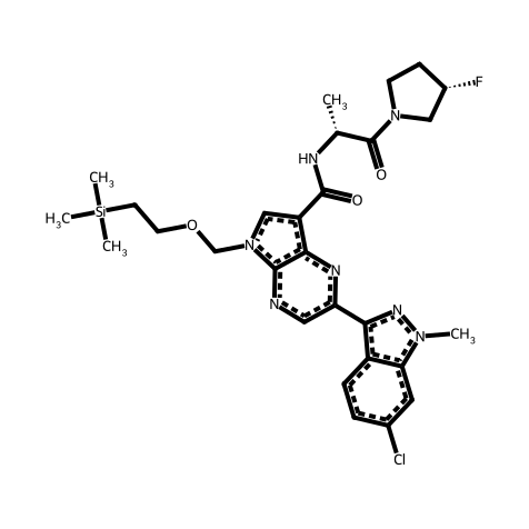 C[C@@H](NC(=O)c1cn(COCC[Si](C)(C)C)c2ncc(-c3nn(C)c4cc(Cl)ccc34)nc12)C(=O)N1CC[C@H](F)C1